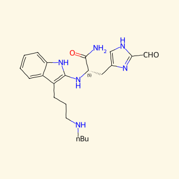 CCCCNCCCc1c(N[C@@H](Cc2c[nH]c(C=O)n2)C(N)=O)[nH]c2ccccc12